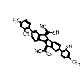 N#CC(C#N)=C1C2=C(C(=C(C#N)C#N)c3cc(-c4ccc(C(F)(F)F)cc4C#N)ccc32)c2ccc(-c3ccc(C(F)(F)F)cc3C#N)cc21